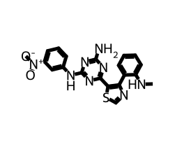 CNc1ccccc1-c1ncsc1-c1nc(N)nc(Nc2cccc([N+](=O)[O-])c2)n1